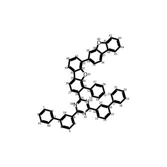 c1ccc(-c2cccc(-c3nc(-c4cccc(-c5ccccc5)c4)nc(-c4ccc5c(oc6c(-c7ccc8c(c7)oc7ccccc78)cccc65)c4-c4ccccc4)n3)c2)cc1